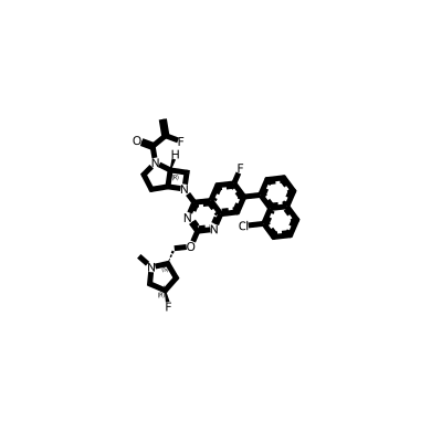 C=C(F)C(=O)N1CCC2[C@H]1CN2c1nc(OC[C@@H]2C[C@@H](F)CN2C)nc2cc(-c3cccc4cccc(Cl)c34)c(F)cc12